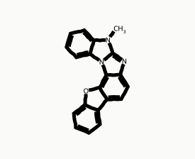 Cn1c2ccccc2n2c3c(ccc4c5ccccc5oc43)nc12